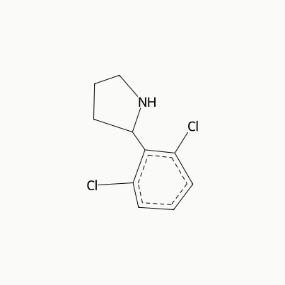 Clc1cccc(Cl)c1C1CCCN1